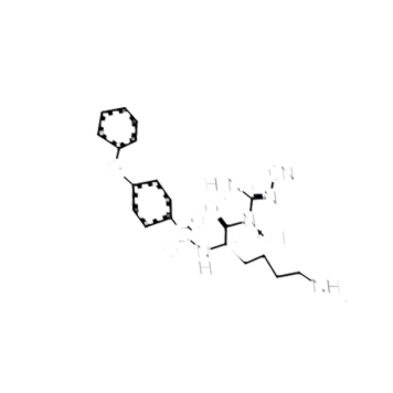 N#C/N=C(\N)N(O)C(=O)[C@@H](CCCCN)NS(=O)(=O)c1ccc(Oc2ccccc2)cc1